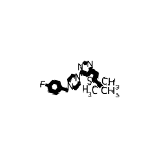 CC(C)(C)c1cc2ncnc(N3CCN(Cc4ccc(F)cc4)CC3)c2s1